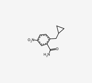 NC(=O)c1cc([N+](=O)[O-])ccc1CC1CC1